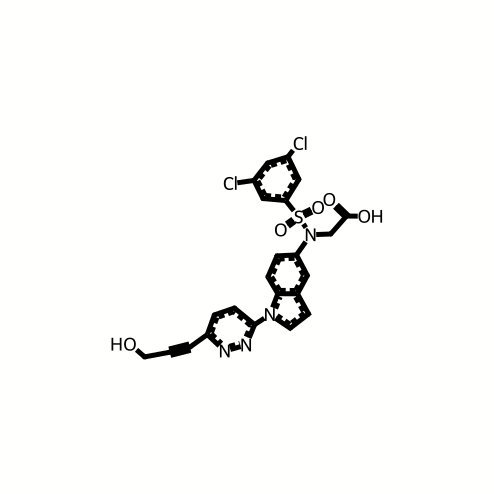 O=C(O)CN(c1ccc2c(ccn2-c2ccc(C#CCO)nn2)c1)S(=O)(=O)c1cc(Cl)cc(Cl)c1